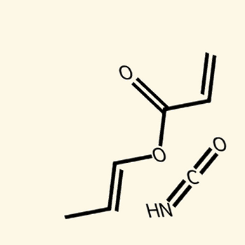 C=CC(=O)OC=CC.N=C=O